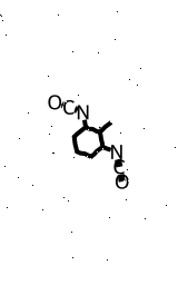 C[C]1C(N=C=O)CCCC1N=C=O